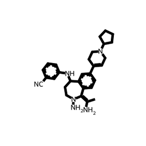 C/C(N)=C1\c2ccc(C3=CCN(C4CCCC4)CC3)cc2C(Nc2cccc(C#N)c2)CCN1N